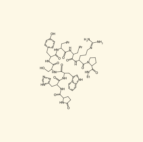 CCNC(=O)C1CCCN1C(=O)C(CCCN=C(N)N)NC(=O)C(CC(C)C)NC(=O)C(CC(C)C)NC(=O)C(Cc1ccc(O)cc1)NC(=O)C(CO)NC(=O)C(Cc1c[nH]c2ccccc12)NC(=O)C(Cc1cnc[nH]1)NC(=O)C1CCC(=O)N1